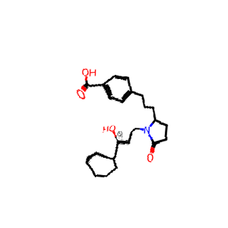 O=C(O)c1ccc(CCCC2CCC(=O)N2CC[C@H](O)C2CCCCC2)cc1